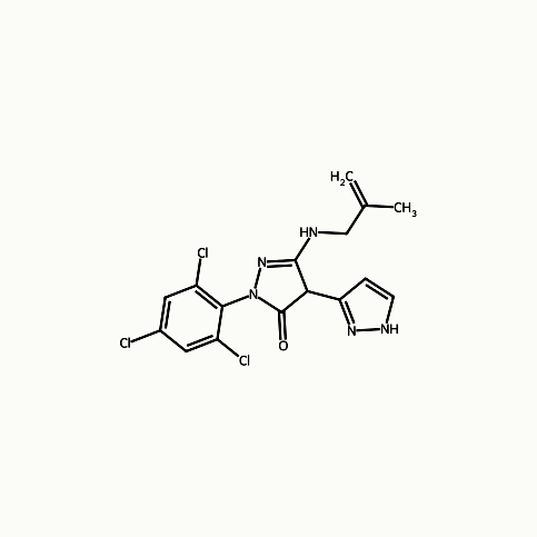 C=C(C)CNC1=NN(c2c(Cl)cc(Cl)cc2Cl)C(=O)C1c1cc[nH]n1